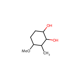 COC1CCC(O)C(O)C1C